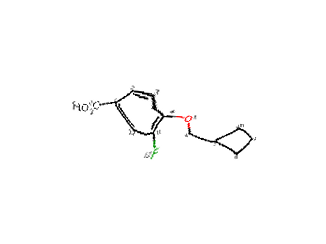 O=C(O)c1ccc(OCC2CCC2)c(F)c1